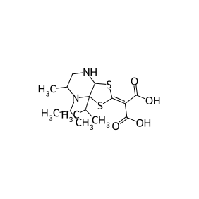 CC(C)N1C(C)CNC2SC(=C(C(=O)O)C(=O)O)SC21C(C)C